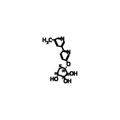 Cc1cncc(-c2ccc(O[C@H]3SC[C@@H](O)[C@H](O)[C@H]3O)cn2)c1